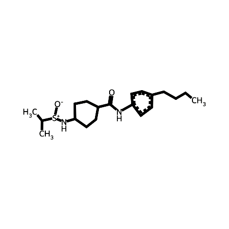 CCCCc1ccc(NC(=O)C2CCC(N[S+]([O-])C(C)C)CC2)cc1